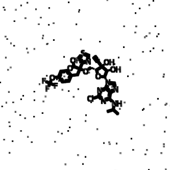 C#C[C@@]1(O)[C@@H](COC(Cc2ccc(OC(F)(F)F)cc2)(C(=O)O)c2cscn2)O[C@@H](n2cnc3c(NC(C)C)nc(Cl)nc32)[C@@H]1O